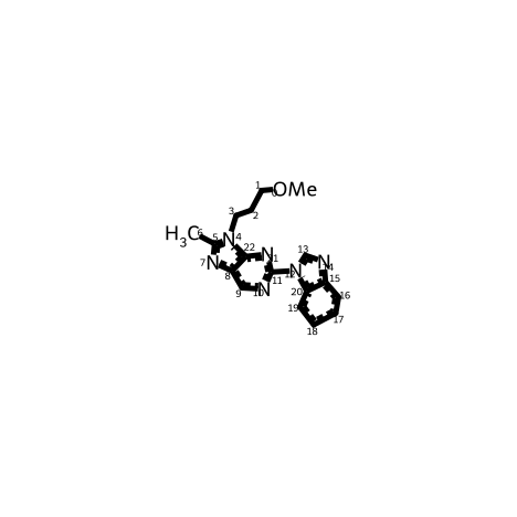 COCCCn1c(C)nc2cnc(-n3cnc4ccccc43)nc21